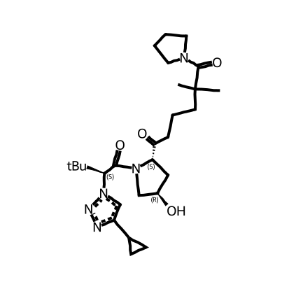 CC(C)(CCCC(=O)[C@@H]1C[C@@H](O)CN1C(=O)[C@@H](n1cc(C2CC2)nn1)C(C)(C)C)C(=O)N1CCCC1